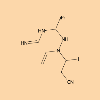 C=CN(NC(NC=N)C(C)C)C(I)CC#N